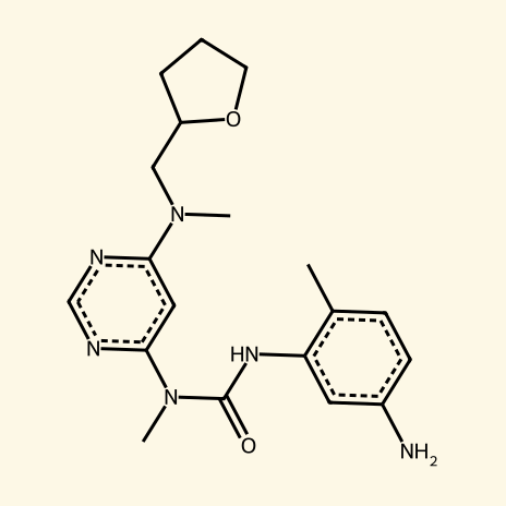 Cc1ccc(N)cc1NC(=O)N(C)c1cc(N(C)CC2CCCO2)ncn1